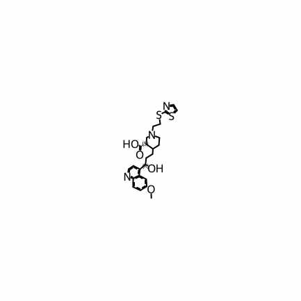 COc1ccc2nccc([C@H](O)CCC3CCN(CCSc4nccs4)C[C@H]3C(=O)O)c2c1